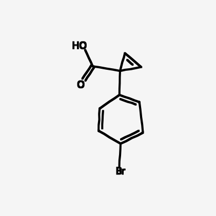 O=C(O)C1(c2ccc(Br)cc2)C=C1